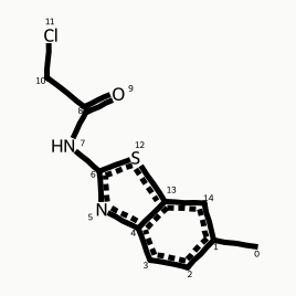 Cc1ccc2nc(NC(=O)CCl)sc2c1